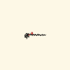 CCCCCCCCCCCCCC(=O)CCCCC1CC[C@H]2C(C)[C@@H](C)C(C)[C@@H]12